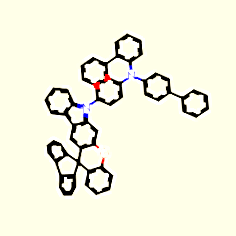 c1ccc(-c2ccc(N(c3ccc(-n4c5ccccc5c5cc6c(cc54)Oc4ccccc4C64c5ccccc5-c5ccccc54)cc3)c3ccccc3-c3ccccc3)cc2)cc1